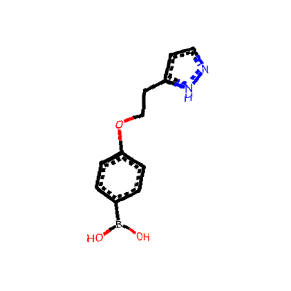 OB(O)c1ccc(OCCc2ccn[nH]2)cc1